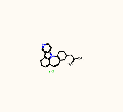 C=C(C)CC1CCC2=C(C=CC3=CCCc4c3n2c2ccncc42)C1.Cl